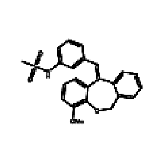 COc1cccc2c1OCc1ccccc1/C2=C/c1cccc(NS(C)(=O)=O)c1